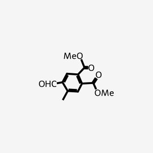 COC(=O)c1cc(C)c(C=O)cc1C(=O)OC